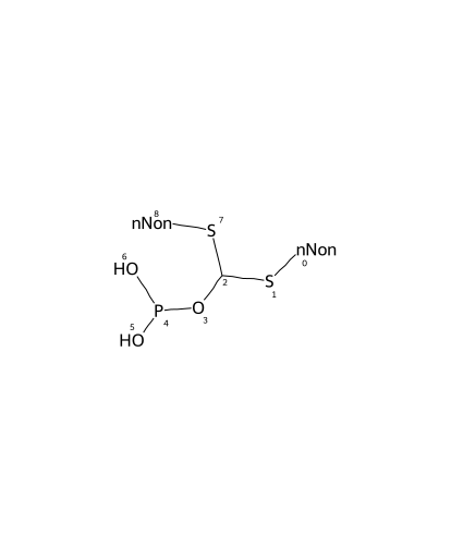 CCCCCCCCCSC(OP(O)O)SCCCCCCCCC